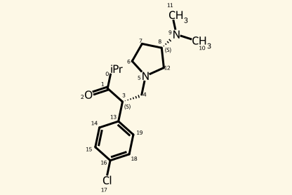 CC(C)C(=O)[C@H](CN1CC[C@H](N(C)C)C1)c1ccc(Cl)cc1